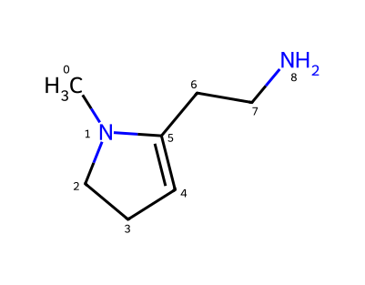 CN1CCC=C1CCN